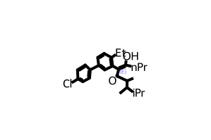 CCC/C(O)=C(\C(=O)C(C)C(C)C(C)C)c1cc(-c2ccc(Cl)cc2)ccc1CC